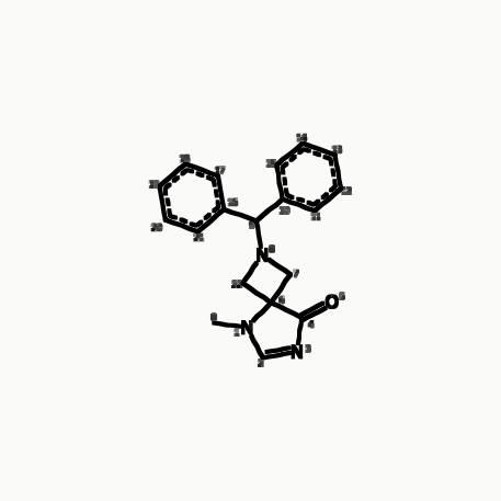 CN1C=NC(=O)C12CN(C(c1ccccc1)c1ccccc1)C2